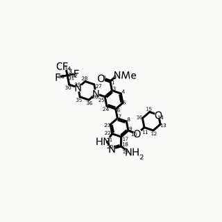 CNC(=O)c1ccc(-c2cc(OC3CCOCC3)c3c(N)n[nH]c3c2)cc1N1CCN(CC(F)(F)C(F)(F)F)CC1